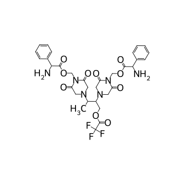 CC(C(COC(=O)C(F)(F)F)N1CC(=O)N(COC(=O)C(N)c2ccccc2)C(=O)C1)N1CC(=O)N(COC(=O)C(N)c2ccccc2)C(=O)C1